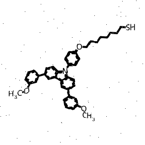 COc1cccc(-c2ccc3c(c2)c2cc(-c4cccc(OC)c4)ccc2n3-c2ccc(OCCCCCCCCS)cc2)c1